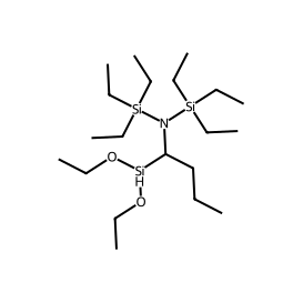 CCCC(N([Si](CC)(CC)CC)[Si](CC)(CC)CC)[SiH](OCC)OCC